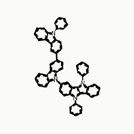 c1ccc(-n2c3ccccc3c3cc(-c4ccc5c(c4)c4ccccc4n5-c4ccc5c(c4)c4c(c6ccccc6n4-c4ccccc4)n5-c4ccccc4)ccc32)cc1